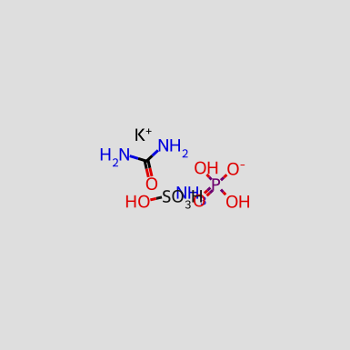 N.NC(N)=O.O=P([O-])(O)O.O=S(=O)(O)O.[K+]